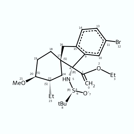 C=C(OCC)[C@]1(N[S@@+]([O-])C(C)(C)C)c2cc(Br)ccc2C[C@@]12CC[C@H](OC)[C@@H](CC)C2